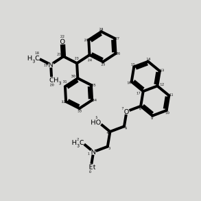 CCN(C)CC(O)COc1cccc2ccccc12.CN(C)C(=O)C(c1ccccc1)c1ccccc1